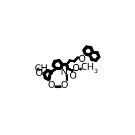 CCOC(=O)c1c(CCCOc2cccc3ccccc23)c2cccc3c2n1CCOCCOc1cc(OC)cc-3c1